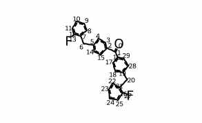 O=C(c1ccc(Cc2ccccc2F)cc1)c1ccc(Cc2ccccc2F)cc1